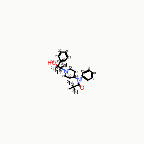 [2H]C([2H])(C)C(=O)N(c1ccccc1)C1CCN(C([2H])([2H])C([2H])(O)c2ccccc2)CC1